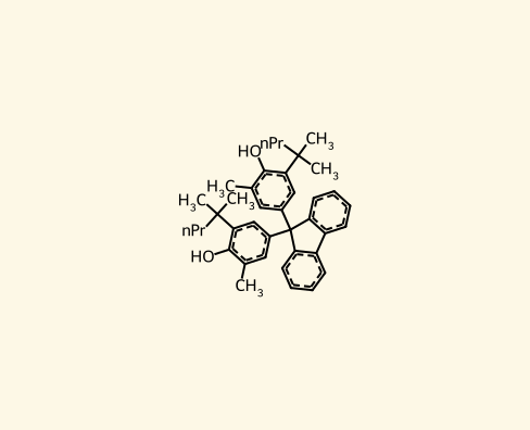 CCCC(C)(C)c1cc(C2(c3cc(C)c(O)c(C(C)(C)CCC)c3)c3ccccc3-c3ccccc32)cc(C)c1O